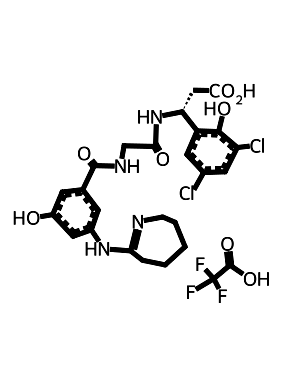 O=C(O)C(F)(F)F.O=C(O)C[C@@H](NC(=O)CNC(=O)c1cc(O)cc(NC2=NCCCCC2)c1)c1cc(Cl)cc(Cl)c1O